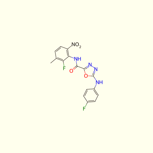 Cc1ccc([N+](=O)[O-])c(NC(=O)c2nnc(Nc3ccc(F)cc3)o2)c1F